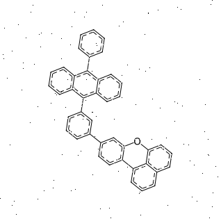 c1ccc(-c2c3ccccc3c(-c3cccc(-c4ccc5c(c4)Oc4cccc6cccc-5c46)c3)c3ccccc23)cc1